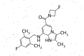 CC1=C(C)N2C=C(C(=O)N3CC(F)C3)C=C(NCc3c(C)cc(F)cc3C)C2N1